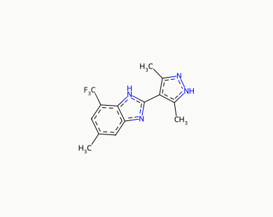 Cc1cc(C(F)(F)F)c2[nH]c(-c3c(C)n[nH]c3C)nc2c1